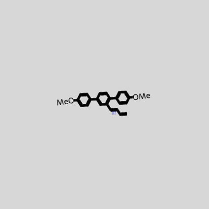 C=C/C=C/c1cc(-c2ccc(OC)cc2)ccc1-c1ccc(OC)cc1